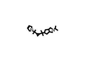 CC(C)N1CC2CC(C(C)(C)C3CC3C(C)(C)N3CC=CC3)CC2C1